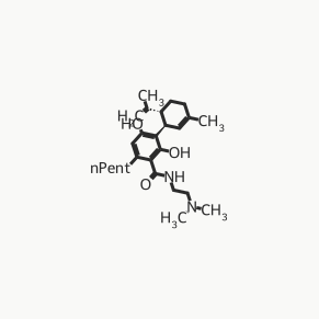 C=C(C)[C@@H]1CCC(C)=C[C@H]1c1c(O)cc(CCCCC)c(C(=O)NCCN(C)C)c1O